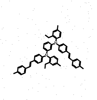 CCc1cc(C)ccc1N(c1ccc(/C=C/c2ccc(C)cc2)cc1)c1cccc(N(c2ccc(/C=C/c3ccc(C)cc3)cc2)c2ccc(C)cc2CC)c1